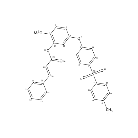 COc1ccc(Oc2ccc(S(=O)(=O)c3ccc(C)cc3)cc2)cc1OC(=O)/C=C/c1ccccc1